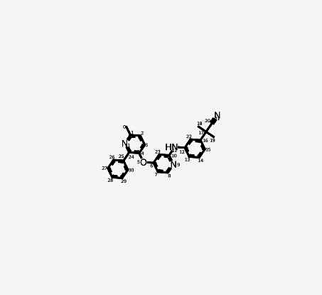 Cc1ccc(Oc2ccnc(Nc3cccc(C(C)(C)C#N)c3)c2)c(-c2ccccc2)n1